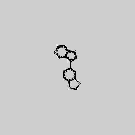 c1cc2scc(-c3ccc4c(c3)OCO4)c2cn1